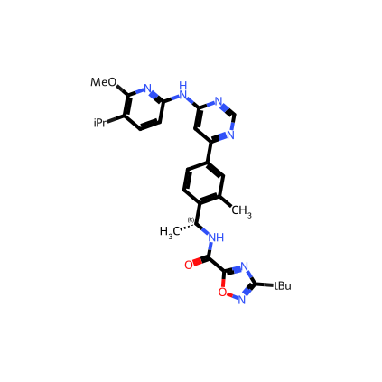 COc1nc(Nc2cc(-c3ccc([C@@H](C)NC(=O)c4nc(C(C)(C)C)no4)c(C)c3)ncn2)ccc1C(C)C